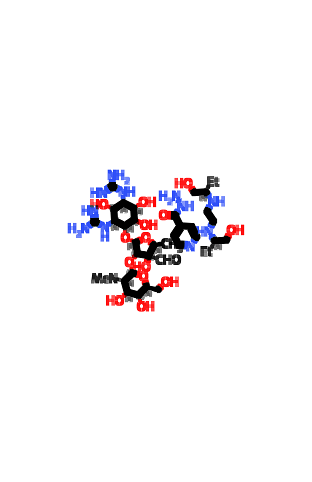 CC[C@@H](CO)NCCN[C@@H](CC)CO.CN[C@@H]1[C@H](O[C@H]2[C@H](O[C@H]3[C@H](O)[C@@H](O)[C@H](NC(=N)N)[C@@H](O)[C@@H]3NC(=N)N)O[C@@H](C)[C@]2(O)C=O)O[C@@H](CO)[C@H](O)[C@H]1O.NNC(=O)c1ccncc1